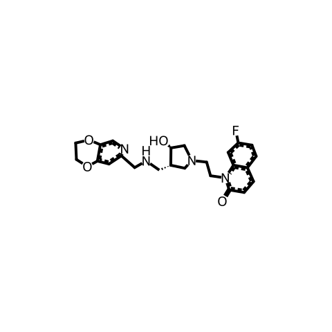 O=c1ccc2ccc(F)cc2n1CCN1C[C@H](CNCc2cc3c(cn2)OCCO3)[C@@H](O)C1